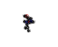 c1ccc(-c2ccc(-c3ccc(N(c4ccccc4)c4ccc(-c5ccccc5-n5c6ccccc6c6ccccc65)c(-c5ccc6oc7ccccc7c6c5)c4)cc3)c3ccccc23)cc1